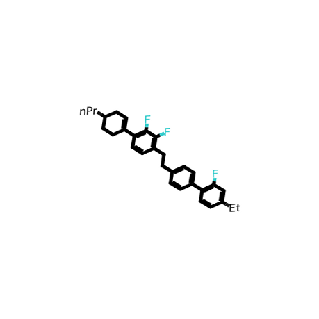 CCCC1CC=C(c2ccc(CCc3ccc(-c4ccc(CC)cc4F)cc3)c(F)c2F)CC1